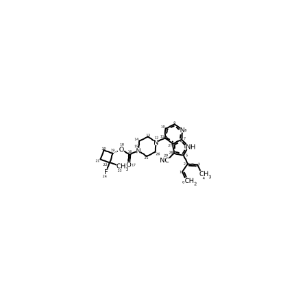 C=C/C(=C\C)c1[nH]c2nccc(N3CCN(C(=O)O[C@H]4CCC4(C)F)CC3)c2c1C#N